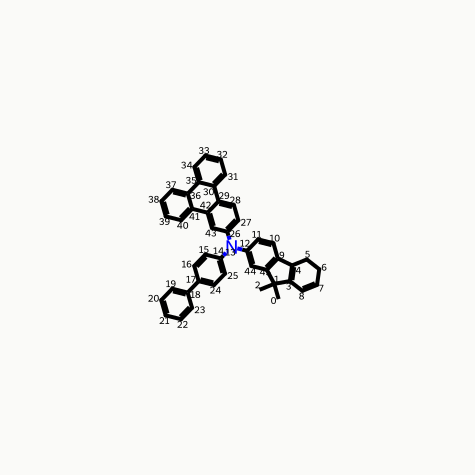 CC1(C)C2=C(CCC=C2)c2ccc(N(c3ccc(-c4ccccc4)cc3)c3ccc4c5ccccc5c5ccccc5c4c3)cc21